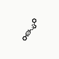 c1ccc(-c2ccc(CCN3CCN(c4ccccc4)CC3)s2)cc1